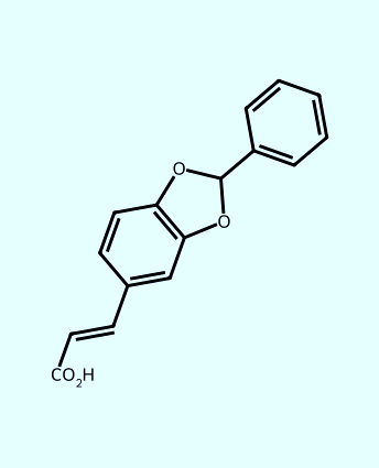 O=C(O)C=Cc1ccc2c(c1)OC(c1ccccc1)O2